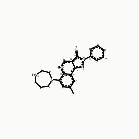 Cc1cc(N2CCCNCC2)c2[nH]cc3c(=O)n(-c4ccccc4)nc-3c2c1